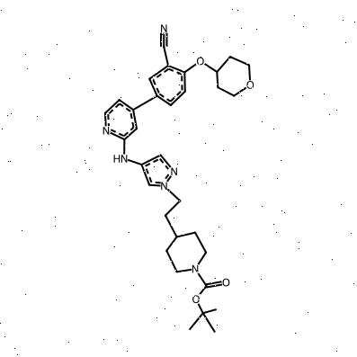 CC(C)(C)OC(=O)N1CCC(CCn2cc(Nc3cc(-c4ccc(OC5CCOCC5)c(C#N)c4)ccn3)cn2)CC1